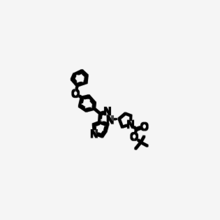 CC(C)(C)OC(=O)N1CC[C@@H](n2nc(-c3ccc(Oc4ccccc4)cc3)c3cnccc32)C1